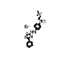 CCN(CC[N+](C)(C)C)c1ccc(/N=N/c2nc(-c3ccccc3)ns2)cc1.[Br-]